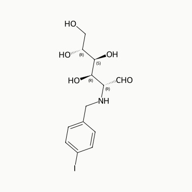 O=C[C@H](NCc1ccc(I)cc1)[C@@H](O)[C@H](O)[C@H](O)CO